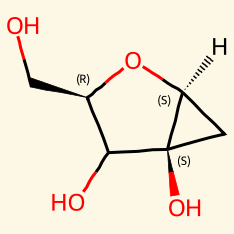 OC[C@H]1O[C@H]2C[C@]2(O)C1O